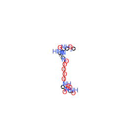 NC(=O)c1c(-c2ccc(Oc3ccccc3)cc2)nn2c1NCC[C@H]2C1CCN(C(=O)COCCOCCOCCOCCNc2cccc3c2C(=O)N(C2CCC(=O)NC2=O)C3=O)CC1